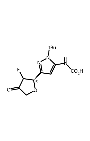 CC(C)(C)n1nc([C@H]2OCC(=O)C2F)cc1NC(=O)O